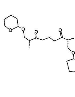 CC(COC1CCCCO1)C(=O)CCCC(=O)C(C)COC1CCCCO1